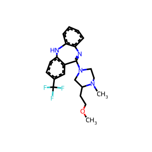 COCCC1CN(C2=Nc3ccccc3Nc3ccc(C(F)(F)F)cc32)CCN1C